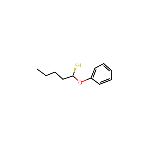 CCCC[C@@H](S)Oc1ccccc1